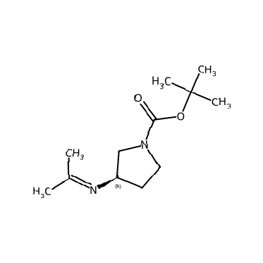 CC(C)=N[C@@H]1CCN(C(=O)OC(C)(C)C)C1